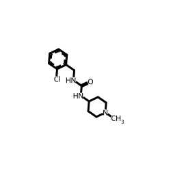 CN1CCC(NC(=O)NCc2ccccc2Cl)CC1